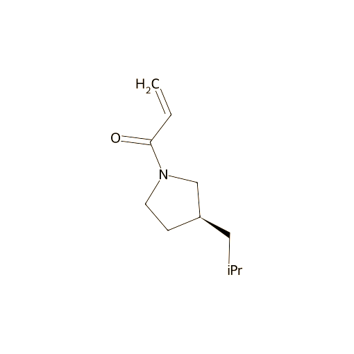 C=CC(=O)N1CC[C@H](CC(C)C)C1